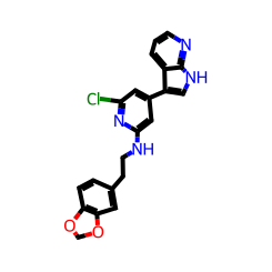 Clc1cc(-c2c[nH]c3ncccc23)cc(NCCc2ccc3c(c2)OCO3)n1